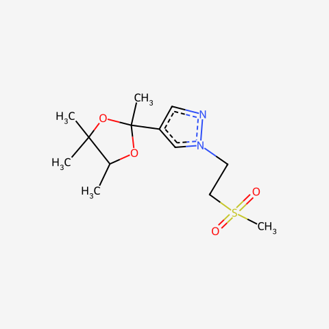 CC1OC(C)(c2cnn(CCS(C)(=O)=O)c2)OC1(C)C